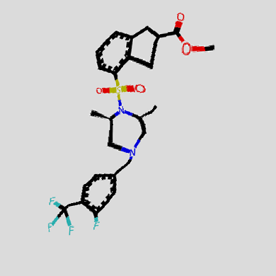 COC(=O)C1Cc2cccc(S(=O)(=O)N3[C@H](C)CN(Cc4ccc(C(F)(F)F)c(F)c4)C[C@@H]3C)c2C1